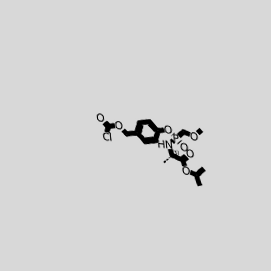 COCP(=O)(N[C@@H](C)C(=O)OC(C)C)Oc1ccc(COC(=O)Cl)cc1